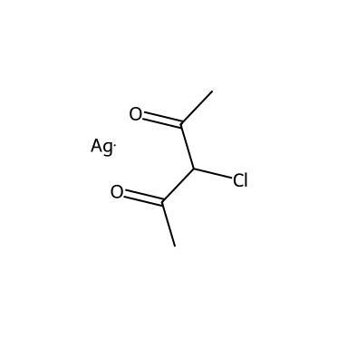 CC(=O)C(Cl)C(C)=O.[Ag]